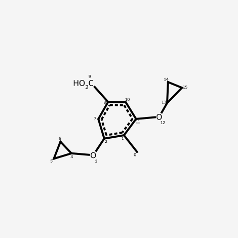 Cc1c(OC2CC2)cc(C(=O)O)cc1OC1CC1